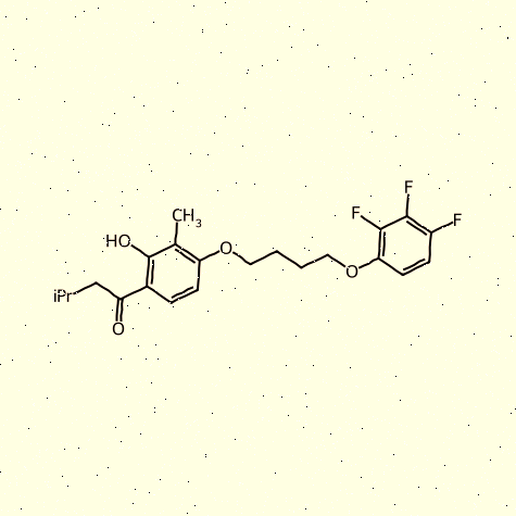 Cc1c(OCCCCOc2ccc(F)c(F)c2F)ccc(C(=O)CC(C)C)c1O